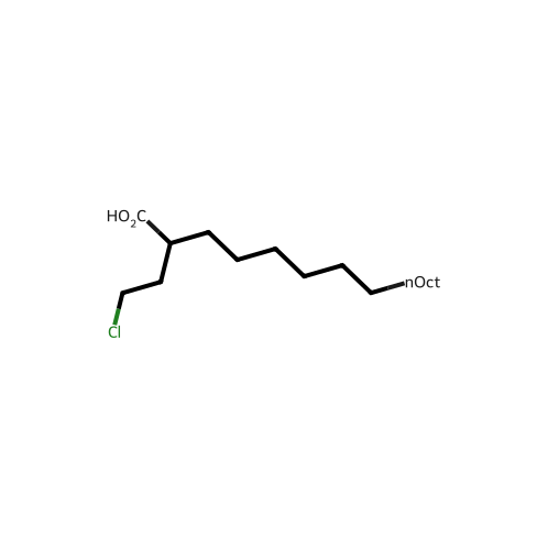 CCCCCCCCCCCCCCC(CCCl)C(=O)O